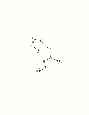 C/C=C/N(C)Cc1ccco1